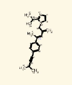 C=C(/C=C(\C)c1ccc(C#CC(C)C)cc1)Cn1ccnc1[C@H](C)O